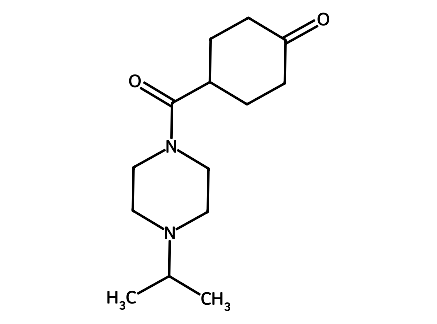 CC(C)N1CCN(C(=O)C2CCC(=O)CC2)CC1